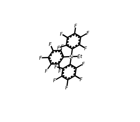 CC[Si](c1c(F)c(F)c(F)c(F)c1F)(c1c(F)c(F)c(F)c(F)c1F)c1c(F)c(F)c(F)c(F)c1F